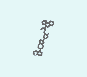 C=C/C(=C\C=C1\C=C(c2ccc3c(c2)CC=C(c2cccc4ncccc24)C=C3)C=CC1C)c1cc2ccccc2c2ccccc12